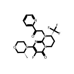 C[C@@H]1COCCN1c1nc2n(c(=O)c1F)CC[C@@H](C(F)(F)F)N2CC(=O)c1ccccn1